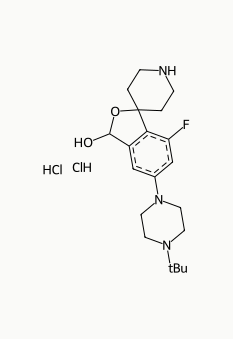 CC(C)(C)N1CCN(c2cc(F)c3c(c2)C(O)OC32CCNCC2)CC1.Cl.Cl